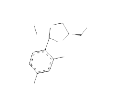 ClC[C@@H]1CO[C@](CBr)(c2ccc(Cl)cc2Cl)O1